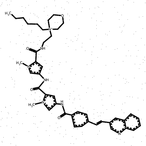 CCCCCC[N+]1(CCNC(=O)c2cc(NC(=O)c3cc(NC(=O)c4ccc(/C=C/c5cnc6ccccc6c5)cc4)cn3C)cn2C)CCOCC1